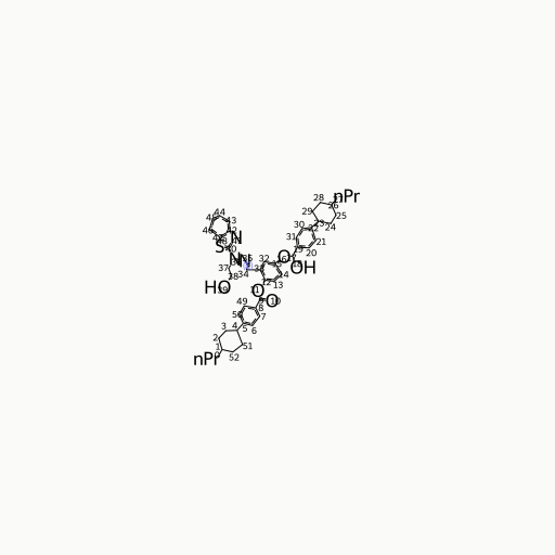 CCCC1CCC(c2ccc(C(=O)Oc3ccc(OC(O)c4ccc(C5CCC(CCC)CC5)cc4)cc3/C=N/N(CCO)c3nc4ccccc4s3)cc2)CC1